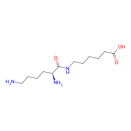 NCCCC[C@H](N)C(=O)NCCCCCC(=O)O